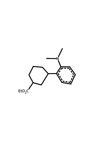 CCOC(=O)C1CCCC(c2ccccc2N(C)C)C1